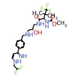 COC(=O)NC(C(=O)NC[C@@H](O)CNCc1ccc(C(=N)/C=C\NCC(F)F)cc1)C(C)(C)C(F)(F)F